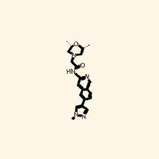 C[C@@H]1CN(CC(=O)Nc2cc3cc(-c4cnn(C)c4)ccc3cn2)C[C@H](C)O1